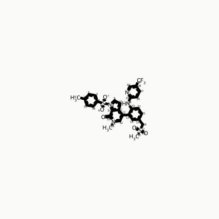 Cc1ccc(S(=O)(=O)n2ccc3c(-c4cc(CS(C)(=O)=O)ccc4Nc4ccc(C(F)(F)F)cn4)cn(C)c(=O)c32)cc1